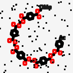 COCOC(=O)c1ccc(C(=O)OCOC(=O)c2ccc(C(=O)OCOC(=O)c3ccc(C(=O)OCOC(=O)c4ccc(C(=O)OCOC(=O)c5ccc(C(C)=O)cc5)cc4)cc3)cc2)cc1